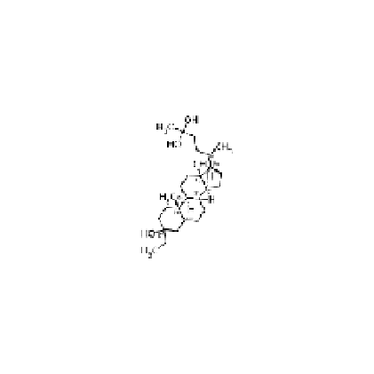 CC[C@]1(O)CC[C@@]2(C)C(=CC[C@H]3[C@@H]4CC[C@H]([C@H](C)CCC(C)(O)O)[C@@]4(C)CC[C@@H]32)C1